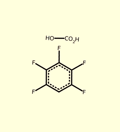 Fc1cc(F)c(F)c(F)c1F.O=C(O)O